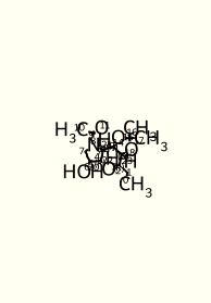 CC[C@H]1O[C@H]2C(O)CN(C(C)=O)[C@H]2[C@H]2OC(C)(C)O[C@H]21